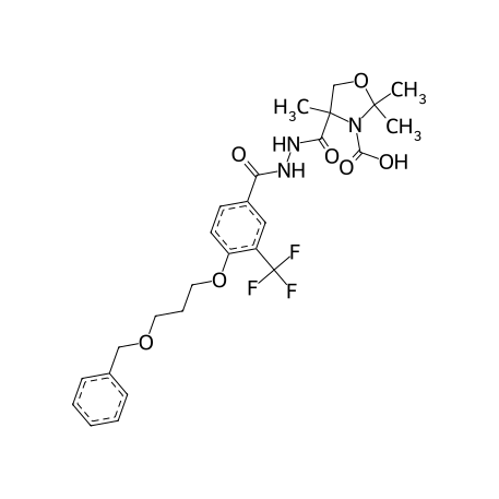 CC1(C)OCC(C)(C(=O)NNC(=O)c2ccc(OCCCOCc3ccccc3)c(C(F)(F)F)c2)N1C(=O)O